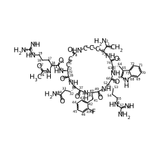 C=C(N)[C@@H]1CCCNC(=O)CC[C@H](NC(=O)[C@H](CCCNC(=N)N)NC(C)=O)C(=O)N[C@@H](CCC(N)=O)C(=O)N[C@H](Cc2ccccc2F)C(=O)N[C@@H](CCCNC(=N)N)C(=O)N[C@@H](Cc2c[nH]c3ccccc23)C(=O)N1